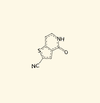 N#Cc1cc2c(=O)[nH]ccc2s1